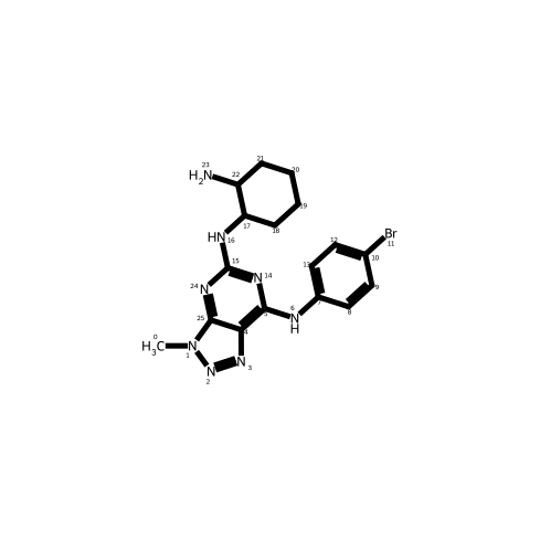 Cn1nnc2c(Nc3ccc(Br)cc3)nc(NC3CCCCC3N)nc21